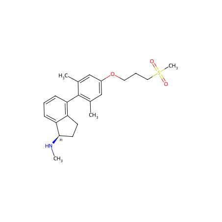 CN[C@@H]1CCc2c(-c3c(C)cc(OCCCS(C)(=O)=O)cc3C)cccc21